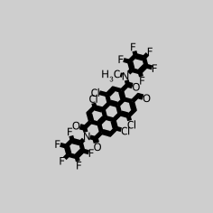 CN(C(=O)c1cc(Cl)c2c3c(Cl)cc4c5c(cc(Cl)c(c6c(Cl)cc(C=O)c1c62)c53)C(=O)N(c1c(F)c(F)c(F)c(F)c1F)C4=O)c1c(F)c(F)c(F)c(F)c1F